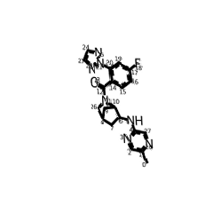 Cc1cnc(NC2CC3CC2N(C(=O)c2ccc(F)cc2-n2nccn2)C3)cn1